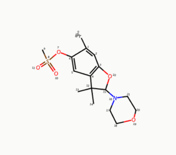 CC(C)c1cc2c(cc1OS(C)(=O)=O)C(C)(C)C(N1CCOCC1)O2